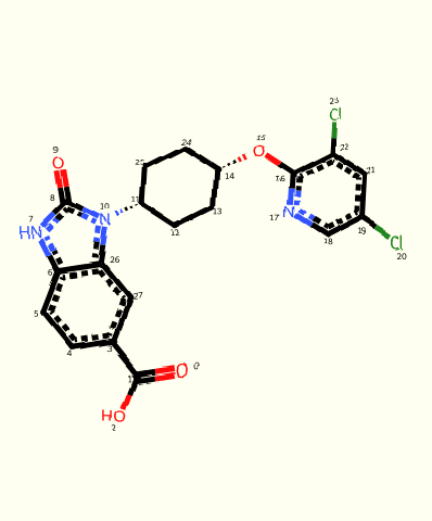 O=C(O)c1ccc2[nH]c(=O)n([C@H]3CC[C@@H](Oc4ncc(Cl)cc4Cl)CC3)c2c1